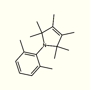 CC1=C(C)C(C)(C)N(c2c(C)cccc2C)C1(C)C